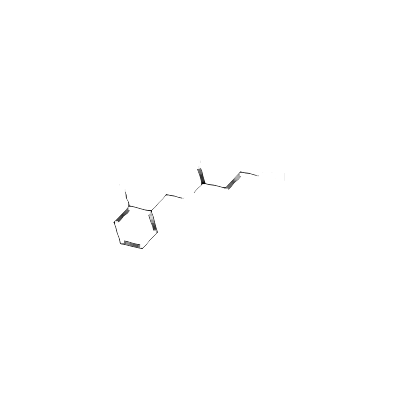 O=C(O)/C=C/C(=O)OCc1ccccc1Cl